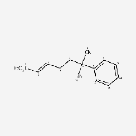 CCOC(=O)C=CCCC(C#N)(c1ccccc1)C(C)C